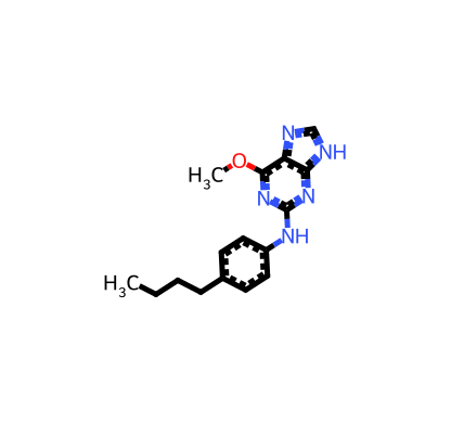 CCCCc1ccc(Nc2nc(OC)c3nc[nH]c3n2)cc1